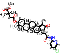 CC(C)C1=C2[C@H]3CC[C@@H]4[C@@]5(C)CC[C@H](OC(=O)CC(C)(C)C(=O)OC(C)(C)C)C(C)(C)[C@@H]5CC[C@@]4(C)[C@]3(C)CC[C@@]2(/C=C/C(=O)Nc2ccc(Cl)cn2)CC1=O